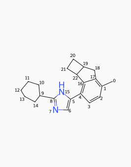 Cc1ccc(-c2cnc(C3CCCCC3)[nH]2)c2c1CC1CCC21